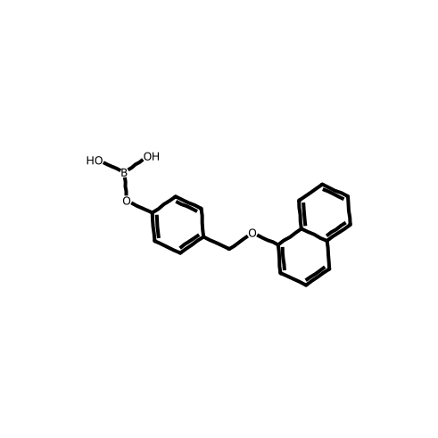 OB(O)Oc1ccc(COc2cccc3ccccc23)cc1